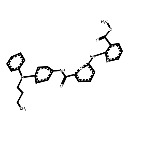 CCCCN(c1ccccc1)c1ccc(NC(=O)c2cccc(Nc3ncccc3C(=O)OC)c2)cc1